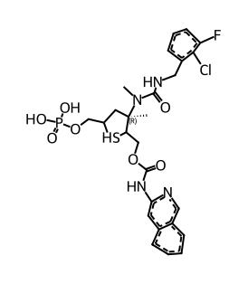 CC(COP(=O)(O)O)C[C@](C)(C(S)COC(=O)Nc1cc2ccccc2cn1)N(C)C(=O)NCc1cccc(F)c1Cl